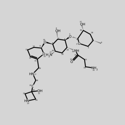 C[C@@H]1CO[C@H](O[C@@H]2[C@@H](O)[C@H](O[C@@H]3CCC=C(CNCCC4(O)CNC4)O3)[C@@H](N)C[C@H]2NC(=O)CCN)[C@H](O)C1